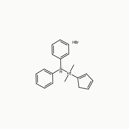 Br.[CH3][Hf]([CH3])([C]1=CC=CC1)[SiH](c1ccccc1)c1ccccc1